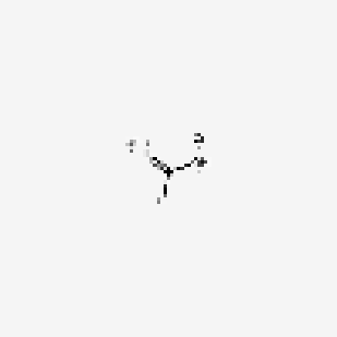 CC(=O)O.[Zn].[Zr]